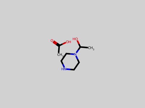 CC(=O)O.CC(O)N1CCNCC1